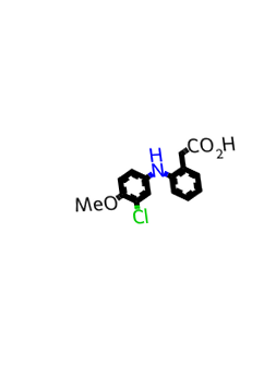 COc1ccc(Nc2ccccc2CC(=O)O)cc1Cl